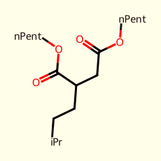 CCCCCOC(=O)CC(CCC(C)C)C(=O)OCCCCC